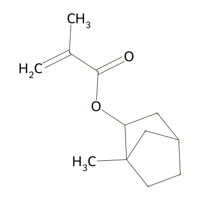 C=C(C)C(=O)OC1CC2CCC1(C)C2